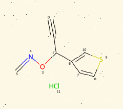 C#CC(ON=C)c1ccsc1.Cl